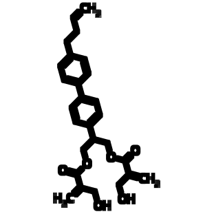 C=CCCc1ccc(-c2ccc(C(COC(=O)C(=C)CO)COC(=O)C(=C)CO)cc2)cc1